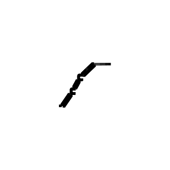 [CH]=C=C=CC